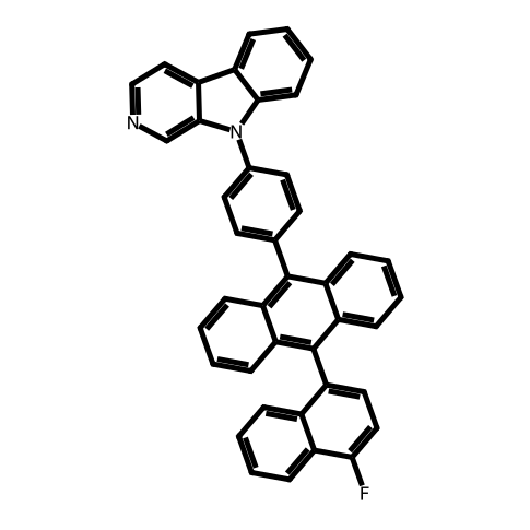 Fc1ccc(-c2c3ccccc3c(-c3ccc(-n4c5ccccc5c5ccncc54)cc3)c3ccccc23)c2ccccc12